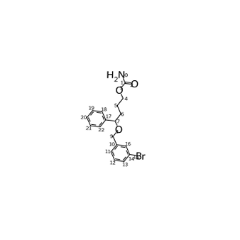 NC(=O)OCCCC(OCc1cccc(Br)c1)c1ccccc1